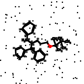 CC(C)(C)[Si](C)(C)OCCC[C@H]([SiH2]c1ccccc1)[SiH](c1ccccc1)c1ccccc1